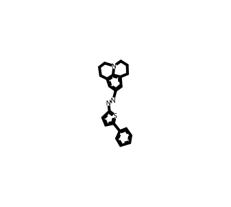 c1ccc(-c2ccc(N=Nc3cc4c5c(c3)CCCN5CCC4)s2)cc1